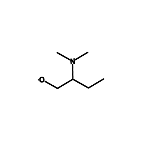 CCC(C[O])N(C)C